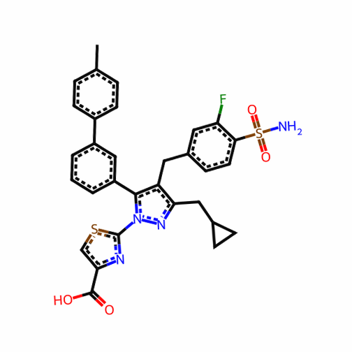 Cc1ccc(-c2cccc(-c3c(Cc4ccc(S(N)(=O)=O)c(F)c4)c(CC4CC4)nn3-c3nc(C(=O)O)cs3)c2)cc1